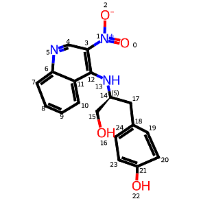 O=[N+]([O-])c1cnc2ccccc2c1N[C@H](CO)Cc1ccc(O)cc1